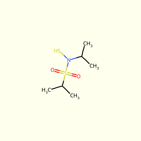 CC(C)N(S)S(=O)(=O)C(C)C